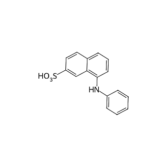 O=S(=O)(O)c1ccc2cccc(Nc3ccccc3)c2c1